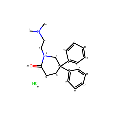 CN(C)CCN1CC(c2ccccc2)(c2ccccc2)CCC1=O.Cl